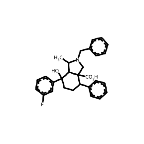 CC1C2C(O)(c3cccc(F)c3)CCC(c3ccccc3)C2(C(=O)O)CN1Cc1ccccc1